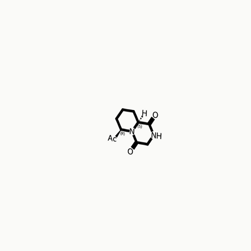 CC(=O)[C@H]1CCC[C@H]2C(=O)NCC(=O)N12